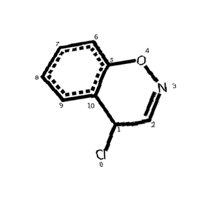 ClC1C=NOc2ccccc21